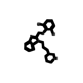 Clc1cccc(Cl)c1OCc1nc2ccccc2n1CCCC1CCCNC1